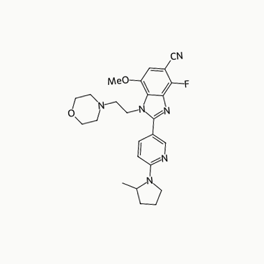 COc1cc(C#N)c(F)c2nc(-c3ccc(N4CCCC4C)nc3)n(CCN3CCOCC3)c12